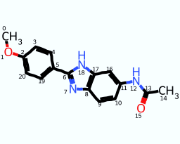 COc1ccc(-c2nc3ccc(NC(C)=O)cc3[nH]2)cc1